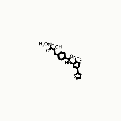 CNC(=O)C(O)Cc1ccc(C(=O)Nc2cc(-c3cccs3)ccc2N)cc1